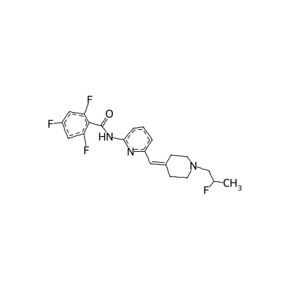 CC(F)CN1CCC(=Cc2cccc(NC(=O)c3c(F)cc(F)cc3F)n2)CC1